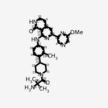 COc1cncc(-c2cc3cc[nH]c(=O)c3c(Nc3ccc(C4CCN(C(=O)C(C)(C)N)CC4)c(C)c3)n2)n1